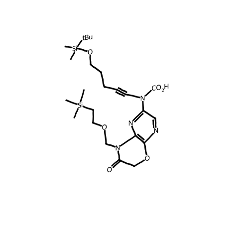 CC(C)(C)[Si](C)(C)OCCCC#CN(C(=O)O)c1cnc2c(n1)N(COCC[Si](C)(C)C)C(=O)CO2